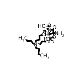 CCCC[N+](CCCC)(CCCC)CCCC.COC1(N)CN(S(=O)(=O)O)C1=O